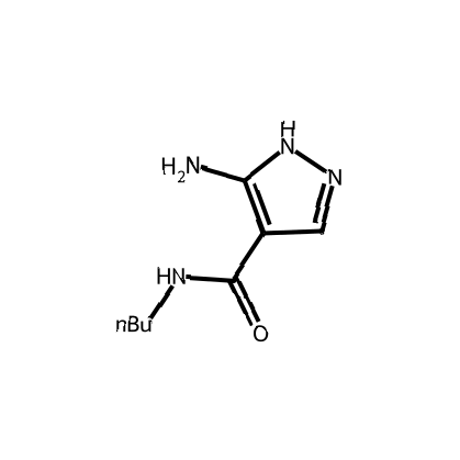 CCCCNC(=O)c1cn[nH]c1N